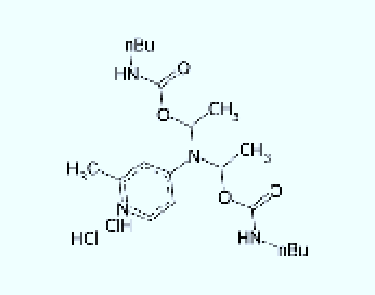 CCCCNC(=O)OC(C)N(c1ccnc(C)c1)C(C)OC(=O)NCCCC.Cl.Cl